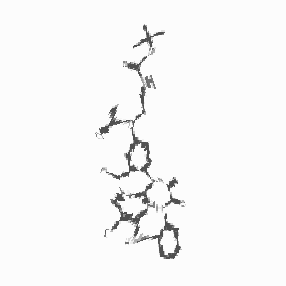 C=CC(=O)Nc1ccccc1Nc1nc(Nc2ccc(N(CCNC(=O)OC(C)(C)C)C(C)=O)cc2CF)ncc1Cl